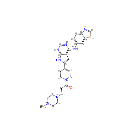 CC(C)N1CCN(CCC(=O)N2CC=C(c3cc4c(Nc5ccc6ncsc6c5)ncnc4[nH]3)CC2)CC1